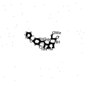 COCC1Nc2c(cnc3[nH]cc(C(O)c4ccc(Oc5ccccn5)cc4Cl)c23)NC1=O